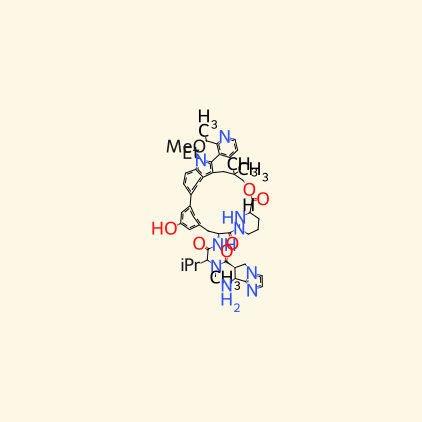 CCn1c(-c2cccnc2[C@H](C)OC)c2c3cc(ccc31)-c1cc(O)cc(c1)C[C@H](NC(=O)C(C(C)C)N(C)C(=O)[C@H]1Cn3ccnc3[C@H]1N)C(=O)N1CCC[C@H](N1)C(=O)OCC(C)(C)C2